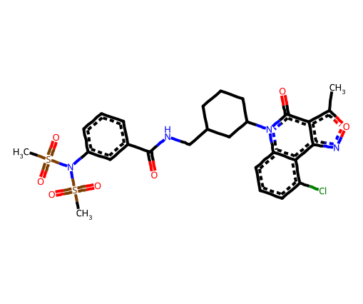 Cc1onc2c1c(=O)n(C1CCCC(CNC(=O)c3cccc(N(S(C)(=O)=O)S(C)(=O)=O)c3)C1)c1cccc(Cl)c21